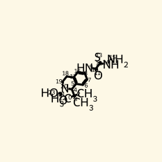 CC(C)(C)C1c2ccc(NC(=O)C(=S)NN)cc2CCN1C(=O)O